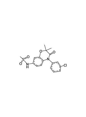 CC1(C)Oc2cc(NS(C)(=O)=O)ccc2N(c2cccc(Cl)c2)C1=O